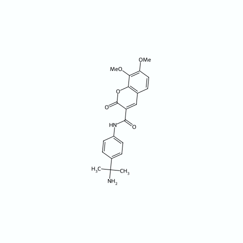 COc1ccc2cc(C(=O)Nc3ccc(C(C)(C)N)cc3)c(=O)oc2c1OC